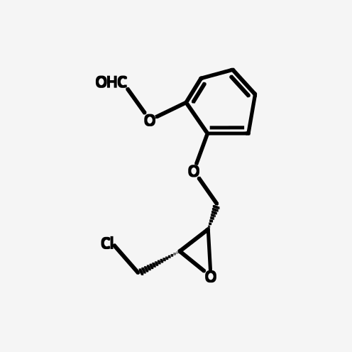 O=COc1ccccc1OC[C@@H]1O[C@@H]1CCl